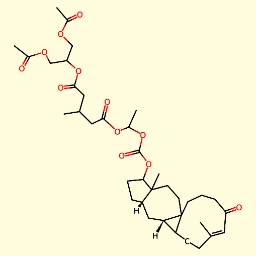 CC(=O)OCC(COC(C)=O)OC(=O)CC(C)CC(=O)OC(C)OC(=O)OC1CC[C@H]2C[C@H]3C4CC/C(C)=C/C(=O)CCCC43CCC12C